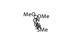 COc1cc(OC)c2nc(-c3cn4nc(SC)sc4n3)oc2c1